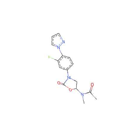 CC(=O)N(C)C1CN(c2ccc(-n3cccn3)c(F)c2)C(=O)O1